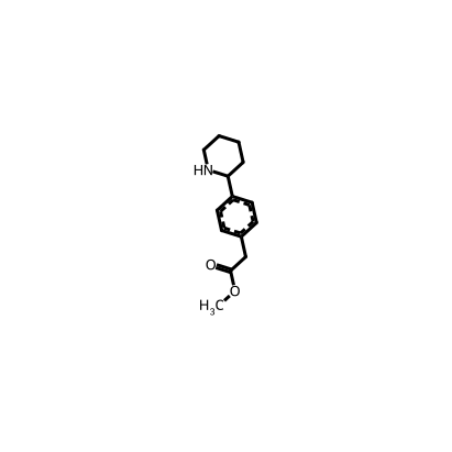 COC(=O)Cc1ccc(C2CCCCN2)cc1